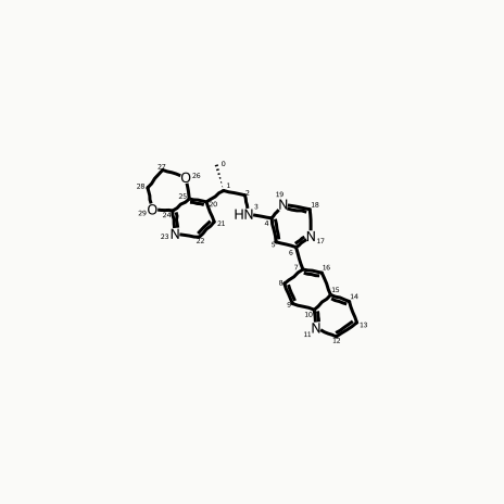 C[C@H](CNc1cc(-c2ccc3ncccc3c2)ncn1)c1ccnc2c1OCCO2